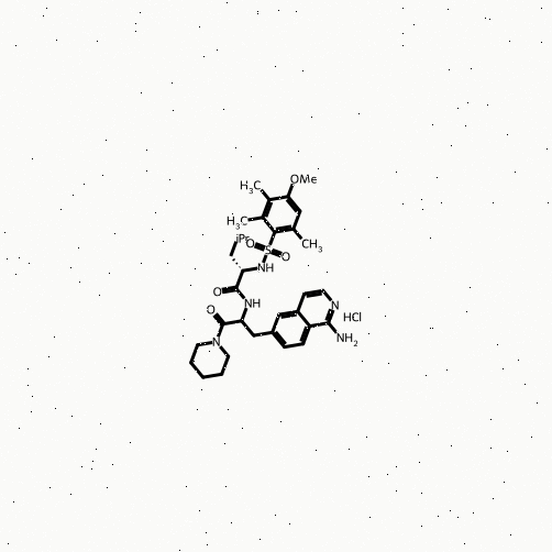 COc1cc(C)c(S(=O)(=O)N[C@@H](CC(C)C)C(=O)NC(Cc2ccc3c(N)nccc3c2)C(=O)N2CCCCC2)c(C)c1C.Cl